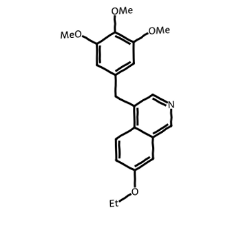 CCOc1ccc2c(Cc3cc(OC)c(OC)c(OC)c3)cncc2c1